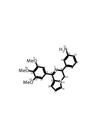 COc1cc(C2=NC(c3cccc(N)c3)Cn3cccc32)cc(OC)c1OC